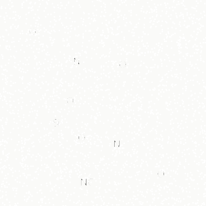 C[Si](C)(C)OC(C(=O)N1CCOCC1)(C(=O)N1CCOCC1C#N)c1ccccc1